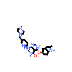 Cc1cc2c(F)c(Oc3ncnc(Nc4ccc(CN5CCN(C)CC5)cn4)c3C(=O)N(C)C)ccc2[nH]1